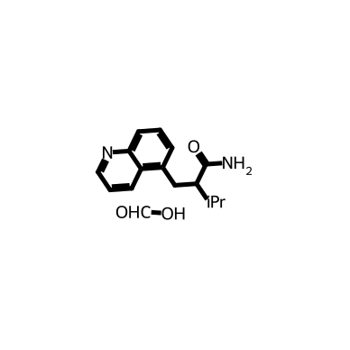 CC(C)C(Cc1cccc2ncccc12)C(N)=O.O=CO